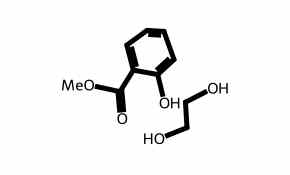 COC(=O)c1ccccc1O.OCCO